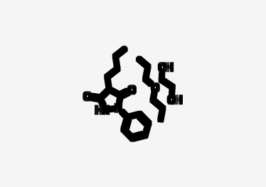 CCCCC1C(=O)NN(c2ccccc2)C1=O.CCCOCCC.OCCO